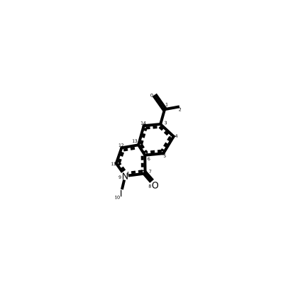 C=C(C)c1ccc2c(=O)n(I)ccc2c1